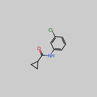 O=C(Nc1cccc(Cl)c1)C1CC1